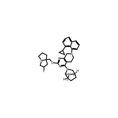 FC1CN2CCCC2(COc2nc3c(c(N4C[C@H]5CC[C@@H](C4)N5)n2)CCN(c2cccc4cccc(C5CC5)c24)C3)C1